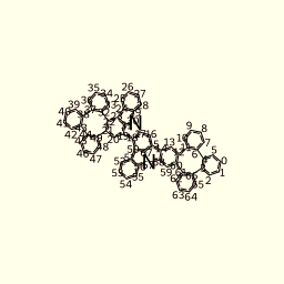 c1ccc2c(c1)-c1ccccc1-c1cc3c4cc5c(c6cc7c(c8c9ccccc9n5c68)-c5ccccc5-c5ccccc5-c5ccccc5-7)c5c6ccccc6n(c3cc1-c1ccccc1-2)c45